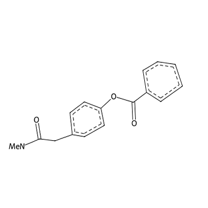 CNC(=O)Cc1ccc(OC(=O)c2ccccc2)cc1